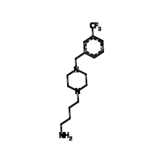 NCCCCN1CCN(Cc2cccc(C(F)(F)F)c2)CC1